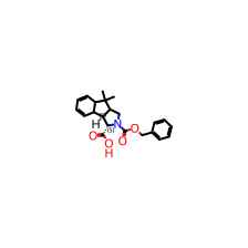 CC1(C)C2C=CC=CC2[C@H]2C1CN(C(=O)OCc1ccccc1)[C@@H]2C(=O)O